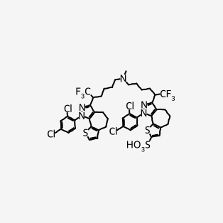 CN(CCCCC(c1nn(-c2ccc(Cl)cc2Cl)c2c1CCCc1ccsc1-2)C(F)(F)F)CCCCC(c1nn(-c2ccc(Cl)cc2Cl)c2c1CCCc1cc(S(=O)(=O)O)sc1-2)C(F)(F)F